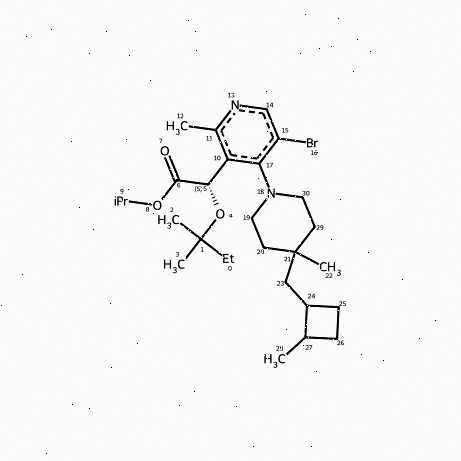 CCC(C)(C)O[C@H](C(=O)OC(C)C)c1c(C)ncc(Br)c1N1CCC(C)(CC2CCC2C)CC1